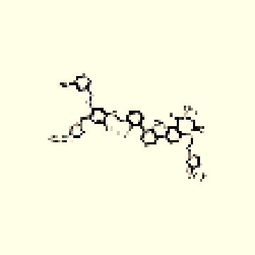 Cc1c(COc2cc(OCc3cncc(C#N)c3)c(CN3CC[C@H](C(=O)O)C3)cc2Cl)cccc1-c1cccc(-c2ccc3c(c2)C(=O)N(C)CC(=O)N3CCN2CC[C@@H](C(=O)O)C2)c1C